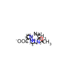 CC1CN(Cc2ccn(-c3ncccc3C(=O)[O-])n2)CC(C)O1.[Na+]